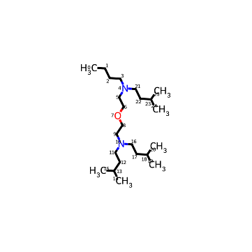 CCCCN(CCOCCN(CCC(C)C)CCC(C)C)CCC(C)C